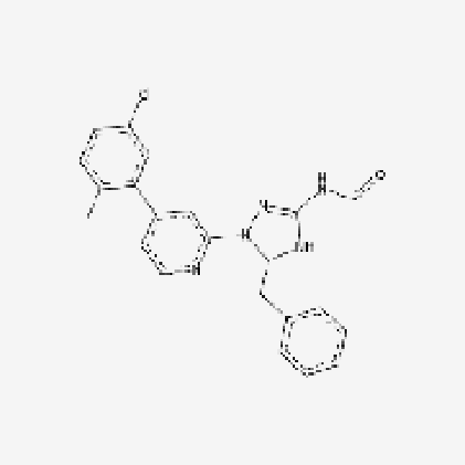 Cc1ccc(Cl)cc1-c1ccnc(N2N=C(NC=O)NC2Cc2ccccc2)c1